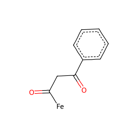 O=[C]([Fe])CC(=O)c1ccccc1